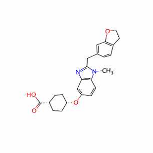 Cn1c(Cc2ccc3c(c2)OCC3)nc2cc(O[C@H]3CC[C@@H](C(=O)O)CC3)ccc21